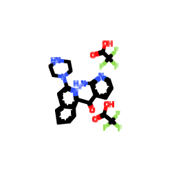 Nc1ncccc1C(=O)c1nc(N2CCNCC2)cc2ccccc12.O=C(O)C(F)(F)F.O=C(O)C(F)(F)F